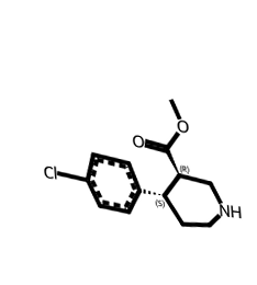 COC(=O)[C@H]1CNCC[C@@H]1c1ccc(Cl)cc1